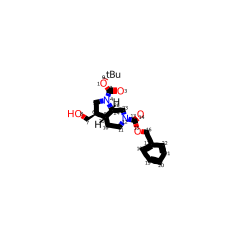 CC(C)(C)OC(=O)N1C[C@H](CO)[C@@H]2CCN(C(=O)OCc3ccccc3)C[C@@H]21